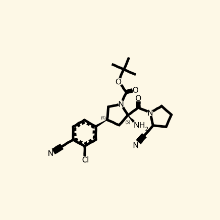 CC(C)(C)OC(=O)N1C[C@H](c2ccc(C#N)c(Cl)c2)C[C@@]1(N)C(=O)N1CCCC1C#N